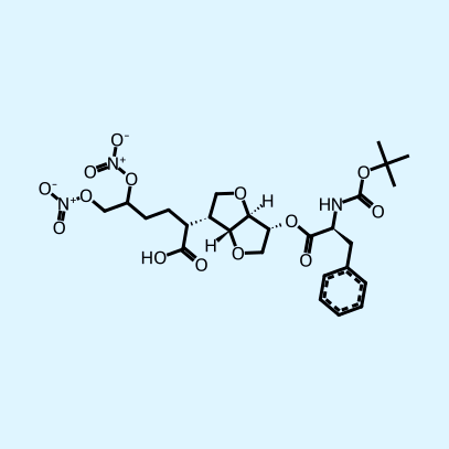 CC(C)(C)OC(=O)N[C@@H](Cc1ccccc1)C(=O)O[C@@H]1CO[C@H]2[C@H]1OC[C@H]2C(CCC(CO[N+](=O)[O-])O[N+](=O)[O-])C(=O)O